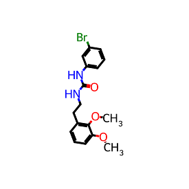 COc1cccc(CCNC(=O)Nc2cccc(Br)c2)c1OC